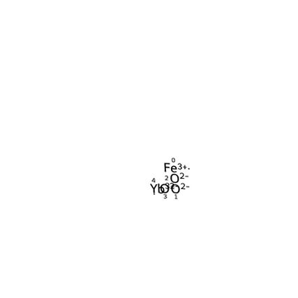 [Fe+3].[O-2].[O-2].[O-2].[Yb+3]